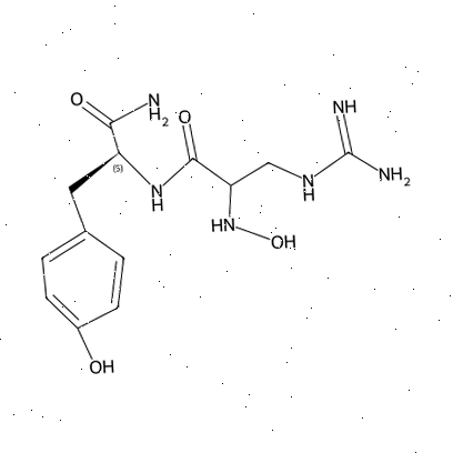 N=C(N)NCC(NO)C(=O)N[C@@H](Cc1ccc(O)cc1)C(N)=O